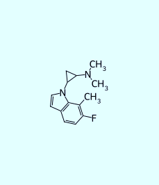 Cc1c(F)ccc2ccn(C3CC3N(C)C)c12